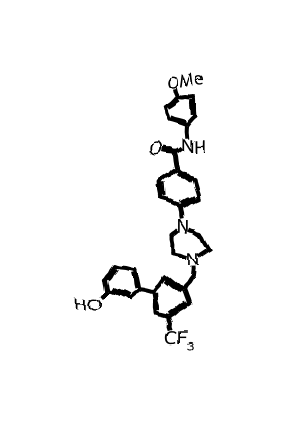 COc1ccc(NC(=O)c2ccc(N3CCN(Cc4cc(-c5cccc(O)c5)cc(C(F)(F)F)c4)CC3)cc2)cc1